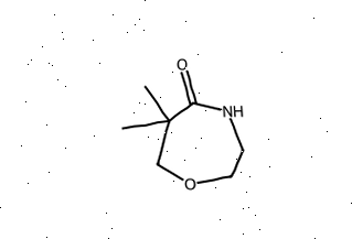 CC1(C)COCCNC1=O